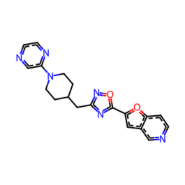 c1cnc(N2CCC(Cc3noc(-c4cc5cnccc5o4)n3)CC2)cn1